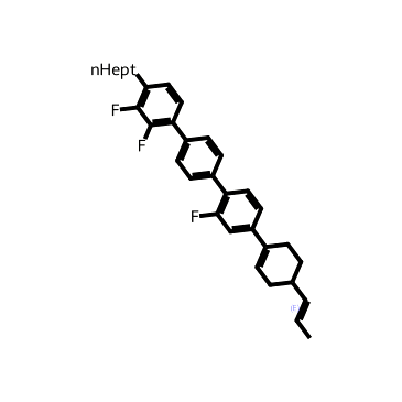 C/C=C/C1CC=C(c2ccc(-c3ccc(-c4ccc(CCCCCCC)c(F)c4F)cc3)c(F)c2)CC1